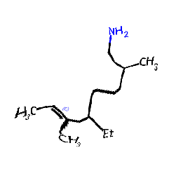 C/C=C(\C)C(CC)CCC(C)CN